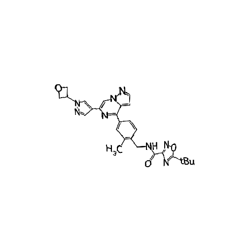 Cc1cc(-c2nc(-c3cnn(C4COC4)c3)cn3nccc23)ccc1CNC(=O)c1noc(C(C)(C)C)n1